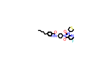 CCCCCc1ccc(C(=O)N[C@H]2CC[C@@H](n3c(=O)c4cc(F)cnc4n(C4CCSCC4)c3=O)CC2)cc1